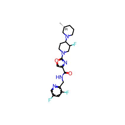 C[C@@H]1CCCN(C2CCN(c3nc(C(=O)NCc4ncc(F)cc4F)co3)CC2F)C1